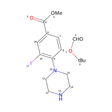 CC(C)(C)OC=O.COC(=O)c1ccc(N2CCNCC2)c(I)c1